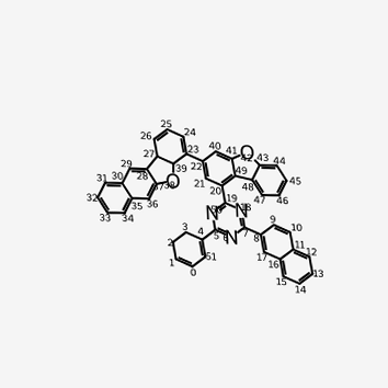 C1=CCCC(c2nc(-c3ccc4ccccc4c3)nc(-c3cc(C4=CC=CC5c6cc7ccccc7cc6OC45)cc4oc5ccccc5c34)n2)=C1